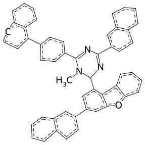 CN1C(c2ccc(-c3cccc4ccccc34)cc2)=NC(c2ccc3ccccc3c2)=NC1c1cc(-c2ccc3ccccc3c2)cc2oc3ccccc3c12